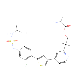 CC(C)NS(=O)(=O)Nc1ccc(-c2cc(-c3ccnc(C(C)(C)COC(=O)C(C)N)c3)cs2)c(Cl)c1